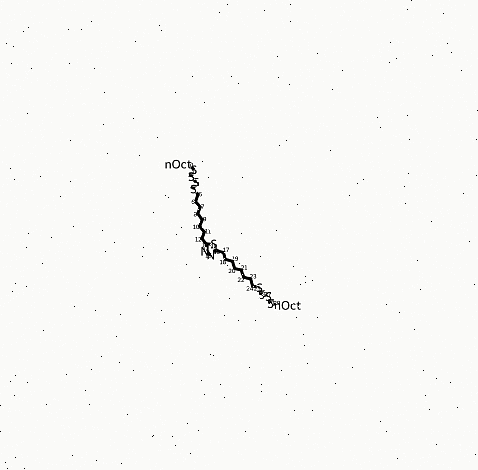 CCCCCCCCSSSSCCCCCCCCc1nnc(CCCCCCCCSSSSCCCCCCCC)s1